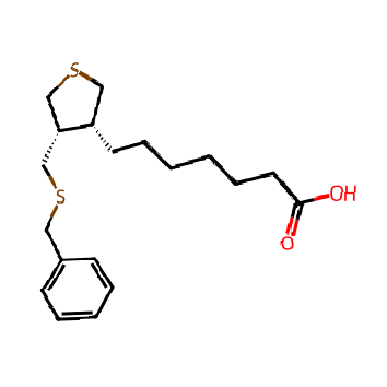 O=C(O)CCCCCC[C@H]1CSC[C@H]1CSCc1ccccc1